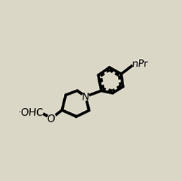 CCCc1ccc(N2CCC(O[C]=O)CC2)cc1